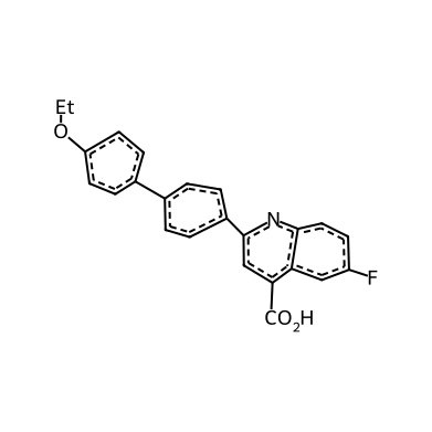 CCOc1ccc(-c2ccc(-c3cc(C(=O)O)c4cc(F)ccc4n3)cc2)cc1